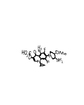 CO[C@@H]1CN(c2c(F)c(N)c3c(=O)c(OC(=O)O)cn(C4CC4)c3c2F)C[C@@H]1N